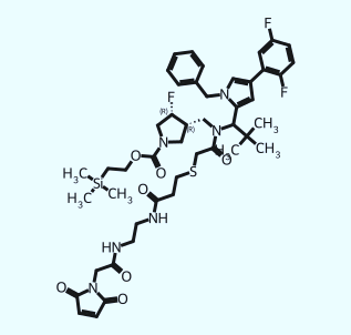 CC(C)(C)C(c1cc(-c2cc(F)ccc2F)cn1Cc1ccccc1)N(C[C@@H]1CN(C(=O)OCC[Si](C)(C)C)C[C@@H]1F)C(=O)CSCCC(=O)NCCNC(=O)CN1C(=O)C=CC1=O